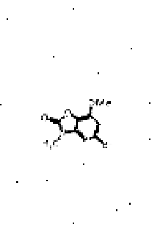 COc1cc(Br)cc2c1oc(=O)n2C